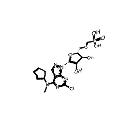 CN(c1nc(Cl)nc2c1cnn2[C@@H]1O[C@H](COCP(=O)(O)O)[C@@H](O)[C@H]1O)C1CCCC1